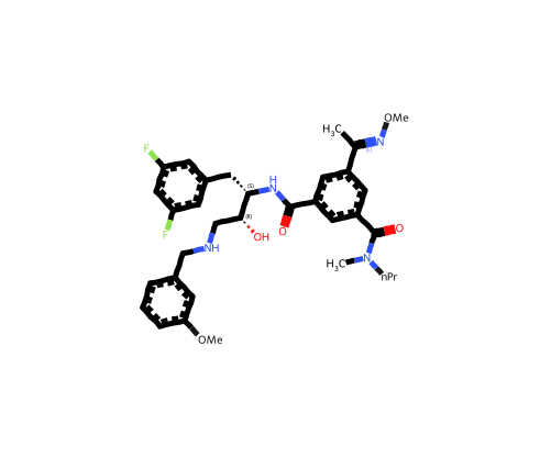 CCCN(C)C(=O)c1cc(C(=O)N[C@@H](Cc2cc(F)cc(F)c2)[C@H](O)CNCc2cccc(OC)c2)cc(/C(C)=N/OC)c1